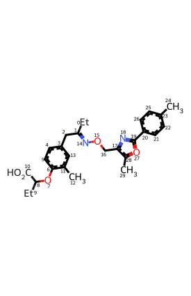 CCC(Cc1ccc(OC(CC)C(=O)O)c(C)c1)=NOCc1nc(-c2ccc(C)cc2)oc1C